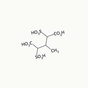 CC(C(C(=O)O)S(=O)(=O)O)C(C(=O)O)S(=O)(=O)O